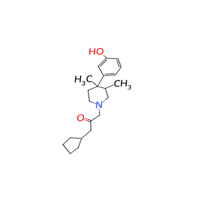 CC1CN(CC(=O)CC2CCCC2)CCC1(C)c1cccc(O)c1